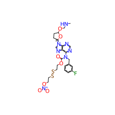 CNCOC1CC[C@H](n2cnc3c(N(Cc4cccc(F)c4)C(=O)OCCSSCCO[N+](=O)[O-])ncnc32)O1